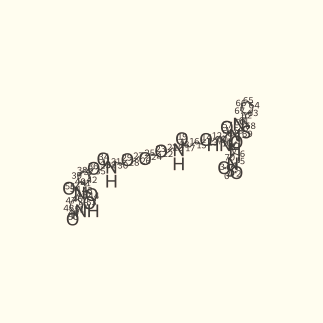 CS(=O)(=O)n1ccc(C(=O)N[C@@H](CCOCCCC(=O)NCCOCCOCCOCCNC(=O)COc2ccc3c(c2)C(=O)N(C2CCC(=O)NC2=O)C3=O)C(=O)Nc2nc(-c3ccccc3)cs2)c1